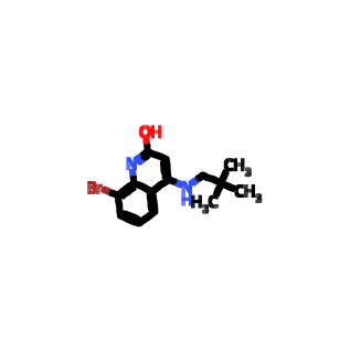 CC(C)(C)CNc1cc(O)nc2c(Br)cccc12